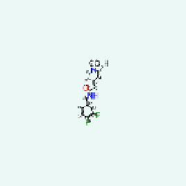 O=C(C=C1CCN(C(=O)O)CC1)NCc1ccc(F)c(F)c1